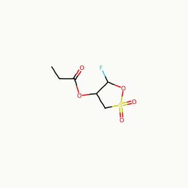 CCC(=O)OC1CS(=O)(=O)OC1F